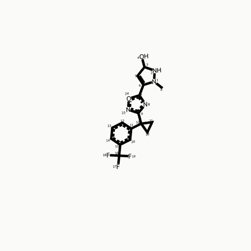 CN1NC(O)C=C1c1nc(C2(c3cccc(C(F)(F)F)c3)CC2)no1